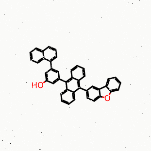 Oc1cc(-c2cccc3ccccc23)cc(-c2c3ccccc3c(-c3ccc4oc5ccccc5c4c3)c3ccccc23)c1